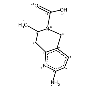 CC1Cc2nc(N)ccc2CN1C(=O)O